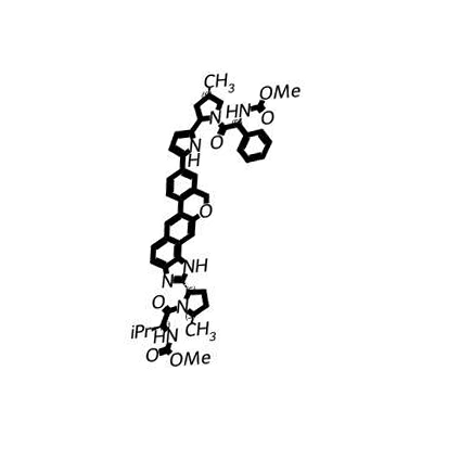 COC(=O)N[C@H](C(=O)N1[C@@H](C)CC[C@H]1c1nc2ccc3cc4c(cc3c2[nH]1)OCc1cc(-c2ccc(C3C[C@H](C)CN3C(=O)[C@H](NC(=O)OC)c3ccccc3)[nH]2)ccc1-4)C(C)C